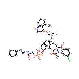 COC(=O)C1(N(C(=O)C(F)(F)F)c2cccc(Cl)c2)CCC2(CC1)c1cc(OP(=O)(O)OCC(=O)NCCc3ccccc3)ccc1C[C@@H]2C[C@@H](C)COc1ccnc2c1[C@H](C)CCC2